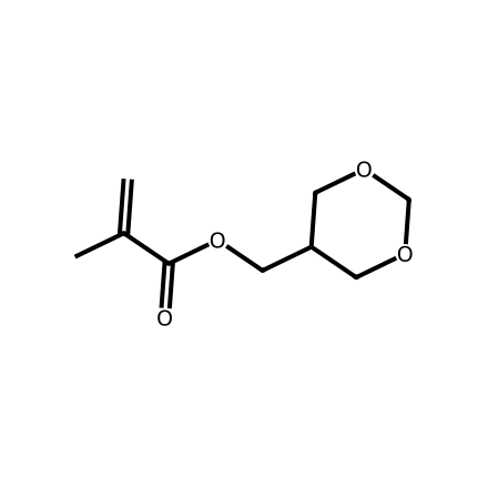 C=C(C)C(=O)OCC1COCOC1